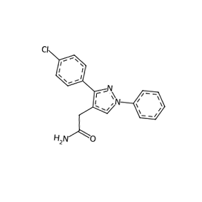 NC(=O)Cc1cn(-c2ccccc2)nc1-c1ccc(Cl)cc1